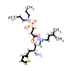 CCCN(CCC)S(=O)(=O)CCC(=O)O[C@H](CNCCC(C)C)[C@H](N)Cc1cccs1